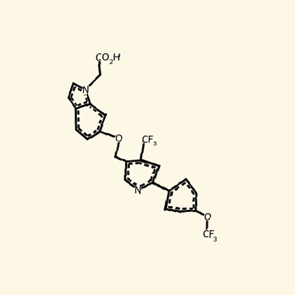 O=C(O)Cn1ccc2ccc(OCc3cnc(-c4ccc(OC(F)(F)F)cc4)cc3C(F)(F)F)cc21